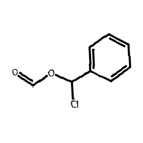 O=[C]OC(Cl)c1ccccc1